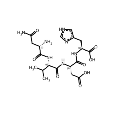 CC(C)[C@H](NC(=O)[C@@H](N)CC(N)=O)C(=O)N[C@@H](CC(=O)O)C(=O)N[C@@H](Cc1c[nH]cn1)C(=O)O